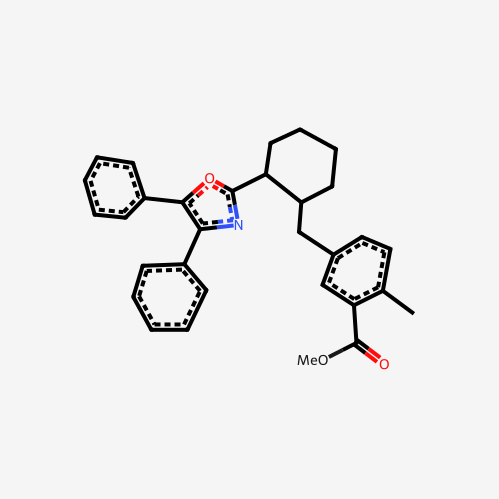 COC(=O)c1cc(CC2CCCCC2c2nc(-c3ccccc3)c(-c3ccccc3)o2)ccc1C